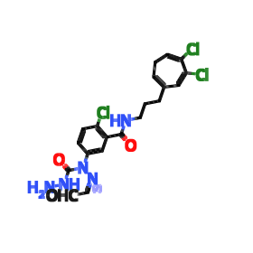 NNC(=O)N(/N=C\C=O)c1ccc(Cl)c(C(=O)NCCCC2=CCC=C(Cl)C(Cl)=C2)c1